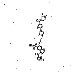 Cc1[nH]nc(Nc2ncnc3cc(OCCCN4CCN(c5ncc(C(=O)N6CCN(C)[C@H](C)C6)cn5)CC4)c(S(=O)(=O)C(C)(C)C)cc23)c1C